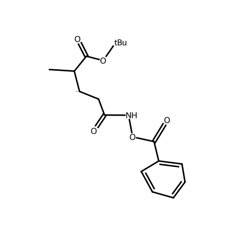 CC([CH]CC(=O)NOC(=O)c1ccccc1)C(=O)OC(C)(C)C